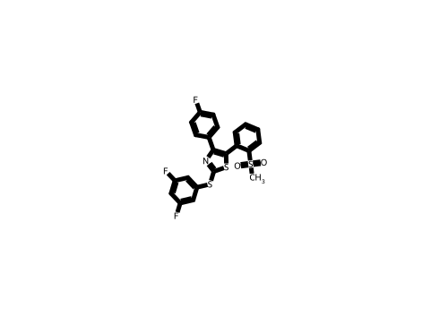 CS(=O)(=O)c1ccccc1-c1sc(Sc2cc(F)cc(F)c2)nc1-c1ccc(F)cc1